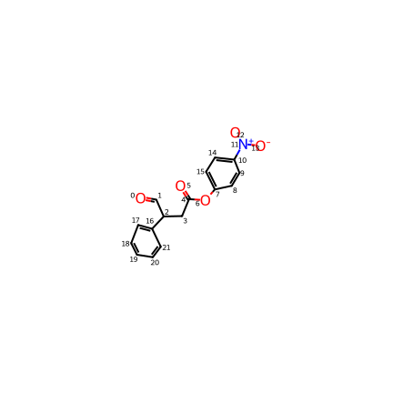 O=CC(CC(=O)Oc1ccc([N+](=O)[O-])cc1)c1ccccc1